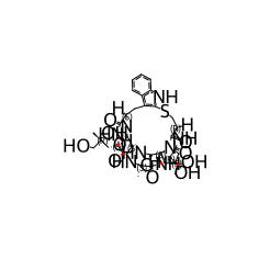 CC(O)[C@H]1NC(=O)[C@H](C)NC(=O)[C@H](C[C@@](C)(O)CO)NC(=O)[C@@H]2Cc3c([nH]c4ccccc34)SC[C@H](NC1=O)C(=O)N1C[C@@H](O)C[C@H]1C(=O)N[C@@H](C)C(=O)N2